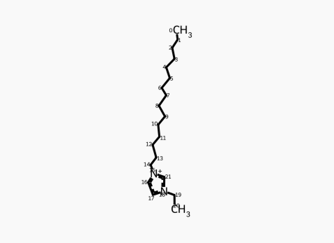 CCCCCCCCCCCCCCC[n+]1ccn(CC)c1